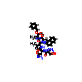 CC(C)[C@H](NC(=O)[C@H](CC(N)=O)NC(=O)[C@@H](N)CO)C(=O)N[C@@H](Cc1cccc2ccccc12)C(=O)N[C@@H](C)C(=O)OCc1ccccc1